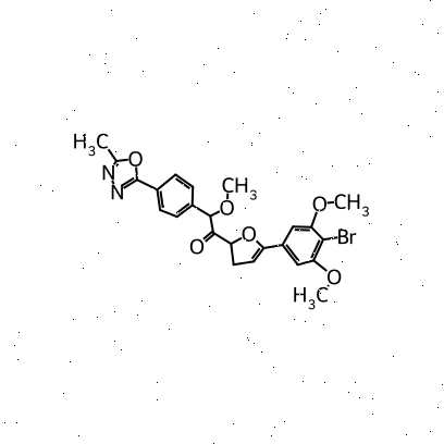 COc1cc(C2=CCC(C(=O)C(OC)c3ccc(-c4nnc(C)o4)cc3)O2)cc(OC)c1Br